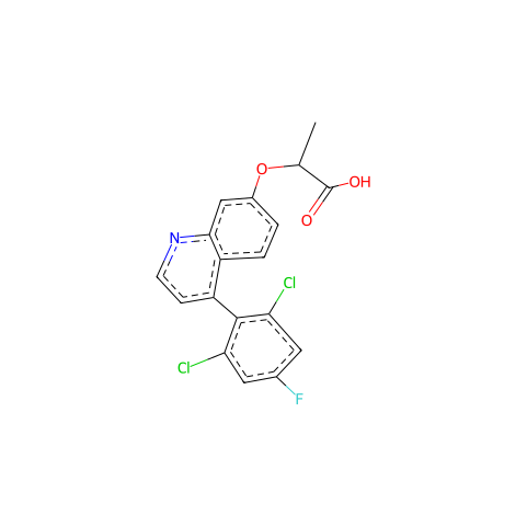 CC(Oc1ccc2c(-c3c(Cl)cc(F)cc3Cl)ccnc2c1)C(=O)O